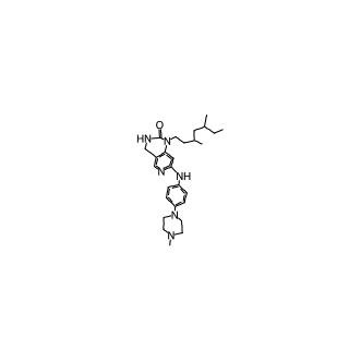 CCC(C)CC(C)CCN1C(=O)NCc2cnc(Nc3ccc(N4CCN(C)CC4)cc3)cc21